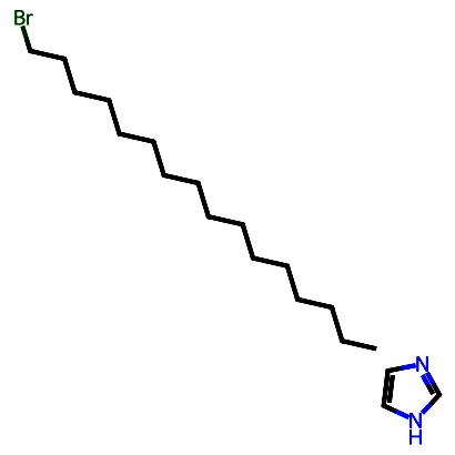 CCCCCCCCCCCCCCCCBr.c1c[nH]cn1